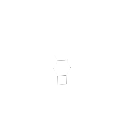 OC1CC2CCC2CN1